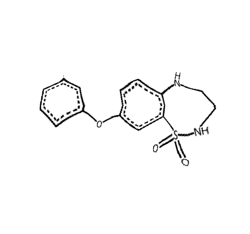 O=S1(=O)NCCNc2ccc(Oc3c[c]ccc3)cc21